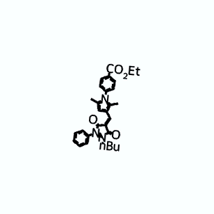 CCCCN1C(=O)/C(=C/c2cc(C)n(-c3ccc(C(=O)OCC)cc3)c2C)C(=O)N1c1ccccc1